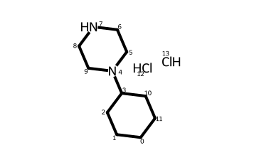 C1CCC(N2CCNCC2)CC1.Cl.Cl